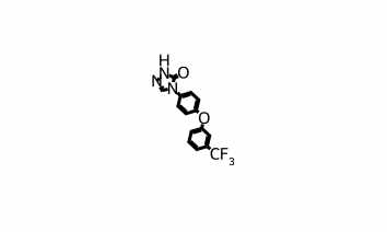 O=c1[nH]ncn1-c1ccc(Oc2cccc(C(F)(F)F)c2)cc1